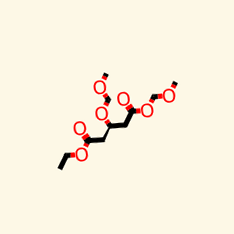 CCOC(=O)C[C@H](CC(=O)OCOC)OCOC